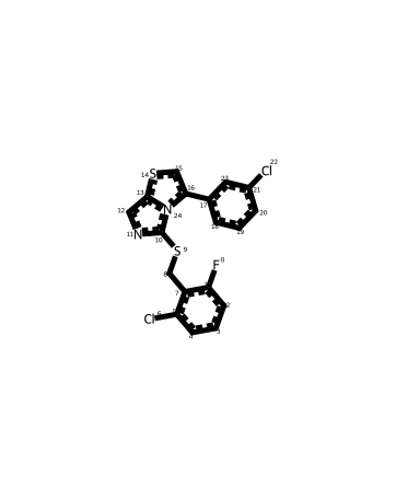 Fc1cccc(Cl)c1CSc1ncc2scc(-c3cccc(Cl)c3)n12